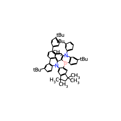 Cc1cc2c3c(c1)N(c1ccc(C(C)(C)C)cc1-c1ccc(-c4ccc(C(C)(C)C)cc4)cc1)c1cc4c(cc1B3c1ccc(C(C)(C)C)cc1N2c1cccc(C(C)(C)C)c1)C(C)(C)CC4(C)C